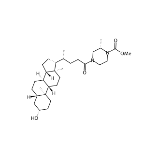 COC(=O)N1CCN(C(=O)CC[C@@H](C)[C@H]2CC[C@H]3[C@@H]4CC[C@H]5C[C@@H](O)CC[C@]5(C)[C@H]4CC[C@]23C)C[C@@H]1C